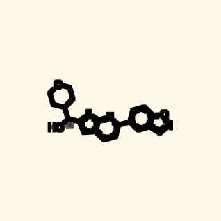 O[C@H](c1cc2ccc(-c3ccc4oncc4c3)nc2s1)C1CCOCC1